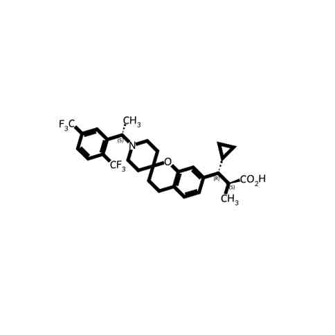 C[C@H](C(=O)O)[C@H](c1ccc2c(c1)OC1(CC2)CCN([C@@H](C)c2cc(C(F)(F)F)ccc2C(F)(F)F)CC1)C1CC1